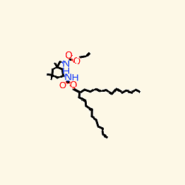 CCCCCCCCCCCCC(CCCCCCCCCC)COC(=O)NC1CC(C)(C)CC(C)(CNC(=O)OCCC)C1